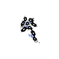 N#Cc1c(-n2c3ccccc3c3ccccc32)c(F)c(-n2c3ccccc3c3ccccc32)c(F)c1-n1c2ccccc2c2cc(-c3ccc4c(c3)[nH]c3cc(C(F)(F)F)ccc34)ccc21